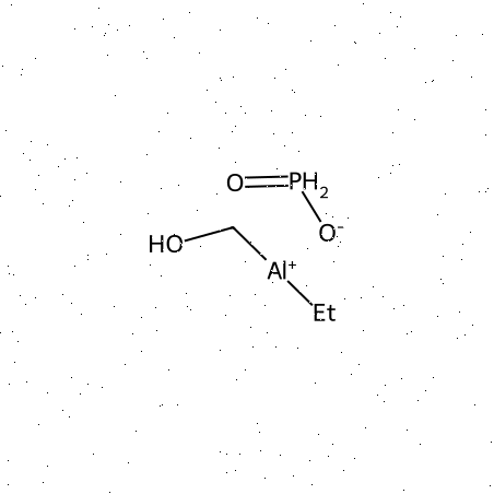 C[CH2][Al+][CH2]O.O=[PH2][O-]